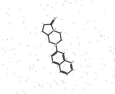 O=C1CCC2CN(c3ccc4[c]ccnc4c3)CCN12